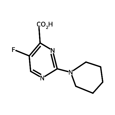 O=C(O)c1nc(N2CCCCC2)ncc1F